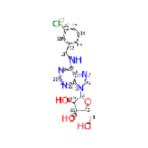 OC[C@H]1OC(n2cnc3c(NCc4cccc(Cl)c4)ncnc32)[C@H](O)[C@@H]1O